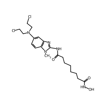 Cn1c(NC(=O)CCCCCCC(=O)NO)nc2cc(N(CCCl)CCCl)ccc21